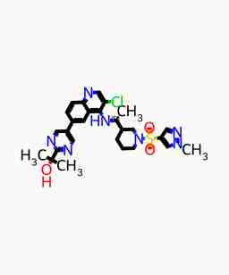 C[C@@H](Nc1c(Cl)cnc2ccc(-c3cnc(C(C)(C)O)nc3)cc12)C1CCCN(S(=O)(=O)c2cnn(C)c2)C1